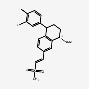 CN[C@H]1CCC(c2ccc(Cl)c(Cl)c2)c2ccc(C=CS(C)(=O)=O)cc21